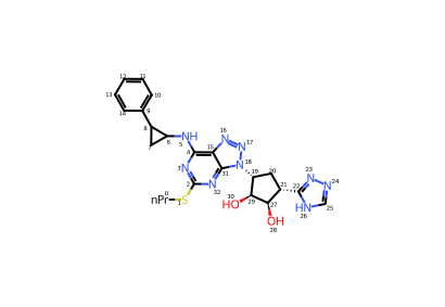 CCCSc1nc(NC2CC2c2ccccc2)c2nnn([C@@H]3C[C@H](c4nnc[nH]4)[C@@H](O)[C@H]3O)c2n1